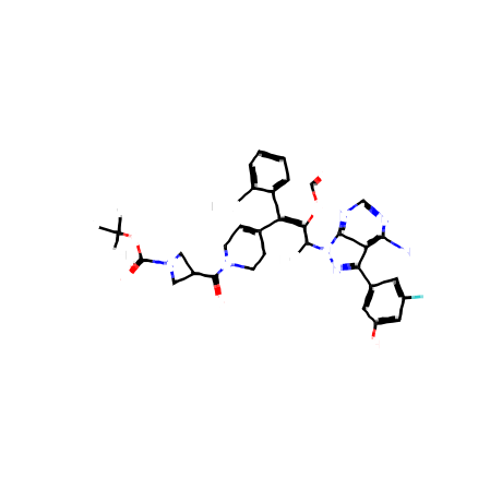 Cc1ccccc1/C(C1=CCN(C(=O)C2CN(C(=O)OC(C)(C)C)C2)CC1)=C(\OC=O)C(C)n1nc(-c2cc(O)cc(F)c2)c2c(N)ncnc21